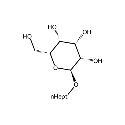 CCCCCCCO[C@H]1O[C@H](CO)[C@H](O)[C@H](O)[C@@H]1O